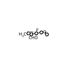 Cc1ccc2nc(-c3ccc(-c4ccc(Oc5ccccc5)cc4)c(F)c3)cc(C=O)c2c1